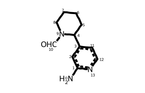 Nc1cc(C2CCCCN2C=O)ccn1